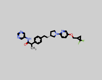 CC(C(=O)Nc1cncnc1)c1ccc(CC[C@@H]2CCN(c3ccc(OCC4CC4(F)F)cn3)C2)cc1